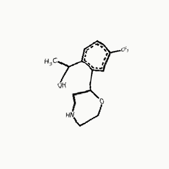 CC(O)c1ccc(C(F)(F)F)cc1C1CNCCO1